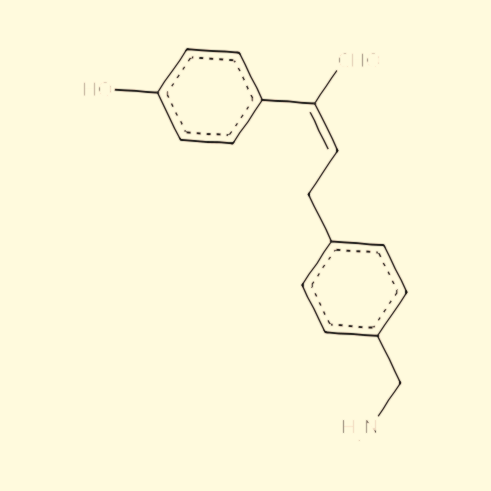 NCc1ccc(CC=C(C=O)c2ccc(O)cc2)cc1